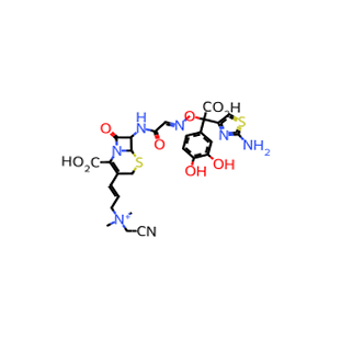 C[N+](C)(CC#N)C/C=C/C1=C(C(=O)O)N2C(=O)C(NC(=O)C=NOC(C(=O)O)(c3ccc(O)c(O)c3)c3csc(N)n3)C2SC1